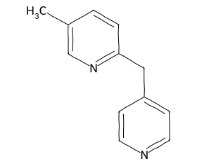 Cc1ccc(Cc2ccncc2)nc1